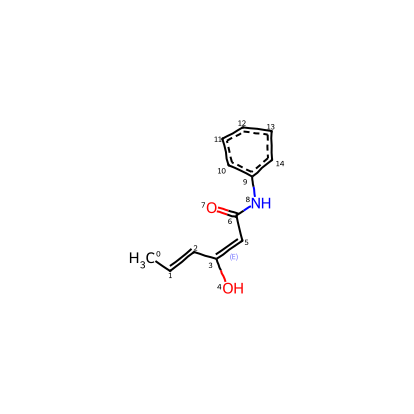 CC=C/C(O)=C\C(=O)Nc1ccccc1